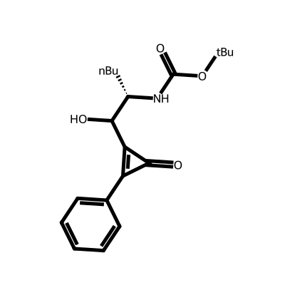 CCCC[C@H](NC(=O)OC(C)(C)C)C(O)c1c(-c2ccccc2)c1=O